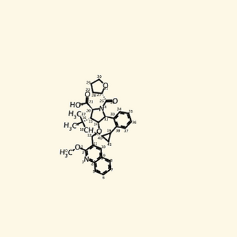 COc1nc2ccccc2cc1CO[C@H]1[C@H](C(C)(C)C)[C@@H](C(=O)O)N(C(=O)[C@@H]2CCCO2)[C@H]1c1ccccc1C1CC1